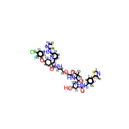 Cc1ncsc1-c1ccc(CNC(=O)[C@@H]2C[C@@H](O)CN2C(=O)[C@@H](NC(=O)COCCCNC(=O)C2(Cc3cccc(Nc4nccs4)n3)CCC(Oc3cccc(Cl)c3F)CC2)C(C)(C)C)cc1